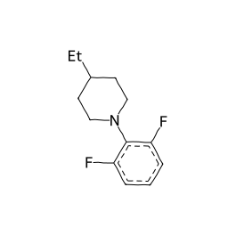 CCC1CCN(c2c(F)cccc2F)CC1